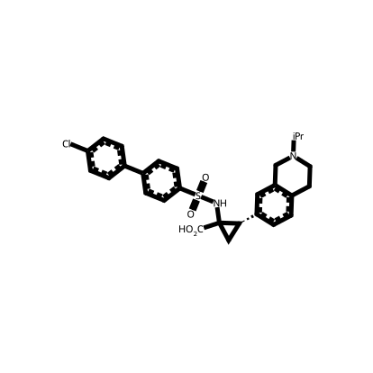 CC(C)N1CCc2ccc([C@@H]3CC3(NS(=O)(=O)c3ccc(-c4ccc(Cl)cc4)cc3)C(=O)O)cc2C1